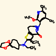 CCN(c1sc2c(c1C)C(=O)N(Cc1c(C)cc(C)nc1OC)CC2)C1CCC2(CC1)OCCO2